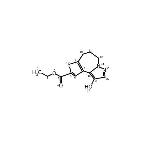 CCOC(=O)c1cc2c(s1)CCCn1ncc(O)c1-2